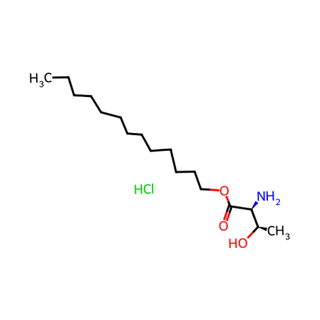 CCCCCCCCCCCCCOC(=O)[C@@H](N)[C@@H](C)O.Cl